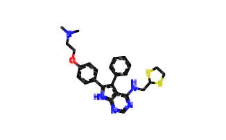 CN(C)CCOc1ccc(-c2[nH]c3ncnc(NCC4SCCS4)c3c2-c2ccccc2)cc1